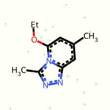 CCOc1cc(C)cc2nnc(C)n12